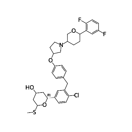 CSC1CC(O)C[C@H](c2ccc(Cl)c(Cc3ccc(OC4CCN(C5CCC(c6cc(F)ccc6F)OC5)C4)cc3)c2)O1